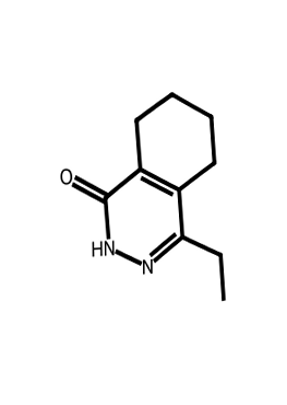 CCc1n[nH]c(=O)c2c1CCCC2